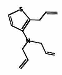 C=CCc1sccc1N(CC=C)CC=C